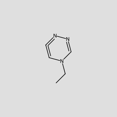 CCN1C=C=NN=C1